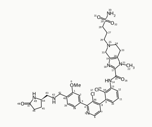 COc1cc(-c2nccc(-c3cccc(NC(=O)c4nc5c(n4C)CCN(CCCS(N)(=O)=O)C5)c3Cl)c2Cl)ccc1CNC[C@H]1CCC(=O)N1